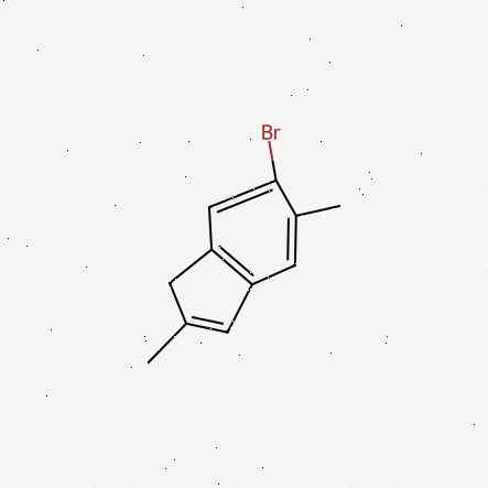 CC1=Cc2cc(C)c(Br)cc2C1